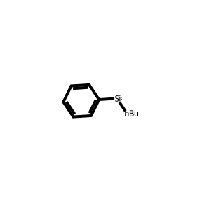 CCCC[Si]c1ccccc1